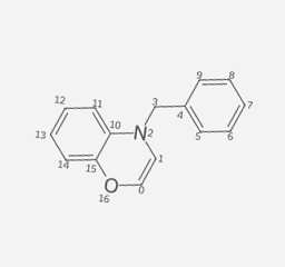 C1=CN(Cc2ccccc2)c2ccccc2O1